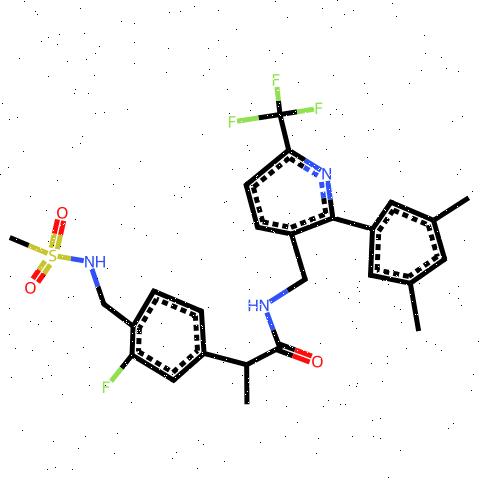 Cc1cc(C)cc(-c2nc(C(F)(F)F)ccc2CNC(=O)C(C)c2ccc(CNS(C)(=O)=O)c(F)c2)c1